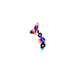 CC(C)(C)OC(=O)N1[C@@H](/C=C/c2ccc(N3CCN(c4ccc(F)cc4)C3=O)cc2)COC1(C)C